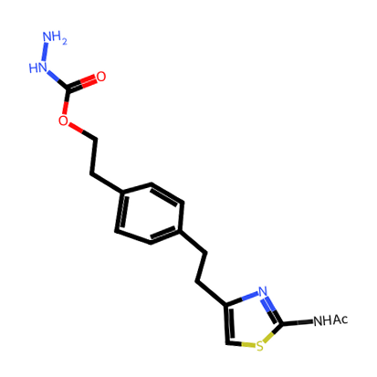 CC(=O)Nc1nc(CCc2ccc(CCOC(=O)NN)cc2)cs1